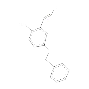 N#C/C=C/c1cc(SCc2ccccc2)ccc1N